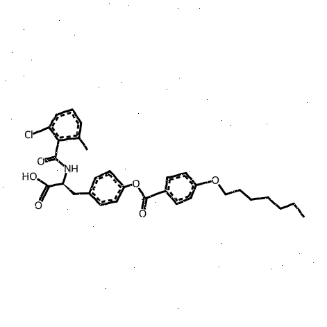 CCCCCCCOc1ccc(C(=O)Oc2ccc(C[C@H](NC(=O)c3c(C)cccc3Cl)C(=O)O)cc2)cc1